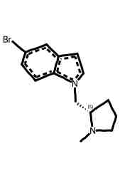 CN1CCC[C@H]1Cn1ccc2cc(Br)ccc21